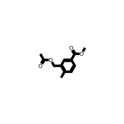 COC(=O)c1ccc(C)c(COC(C)=O)c1